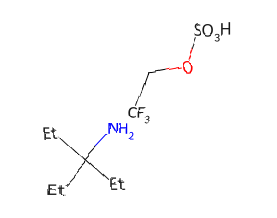 CCC(N)(CC)CC.O=S(=O)(O)OCC(F)(F)F